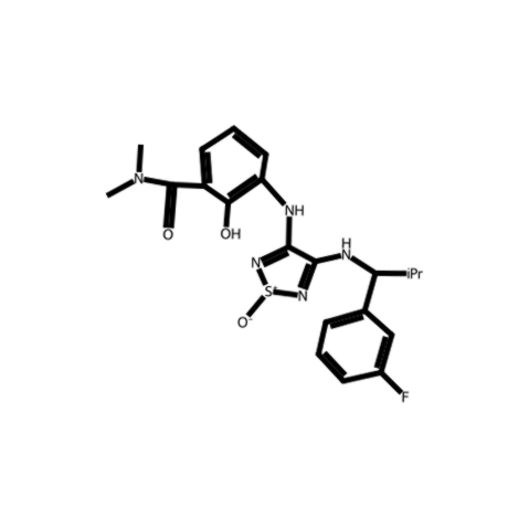 CC(C)C(Nc1n[s+]([O-])nc1Nc1cccc(C(=O)N(C)C)c1O)c1cccc(F)c1